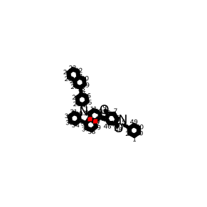 c1ccc(-c2nc3cc4oc5cc(N(c6ccc(-c7ccc8ccccc8c7)cc6)c6ccccc6-c6ccccc6)ccc5c4cc3o2)cc1